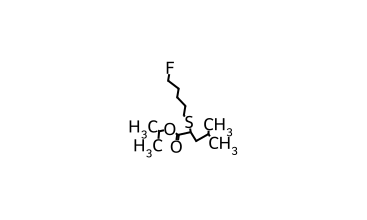 CC(C)CC(SCCCCCF)C(=O)OC(C)C